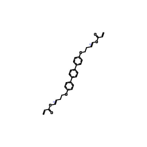 C=CC(=O)O/C=C/CCOc1ccc(-c2ccc(-c3ccc(OCC/C=C/OC(=O)C=C)cc3)cc2)cc1